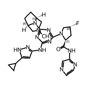 CN1C[C@H]2CC[C@@H](C1)N2c1nc(Nc2cc(C3CC3)[nH]n2)nc(N2C[C@H](F)C[C@H]2C(=O)Nc2cnccn2)n1